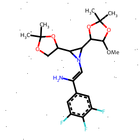 COC1OC(C)(C)OC1C1C(C2COC(C)(C)O2)N1/C=C(\N)c1cc(F)c(F)c(F)c1